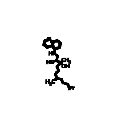 CC(C)CCCC(C)CCCC(C)(O)C(O)CNc1cccc2ncccc12